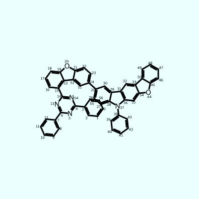 c1ccc(-c2nc(-c3ccccc3)nc(-c3cccc4oc5ccc(-c6ccc7c(c6)c6cc8c(cc6n7-c6ccccc6)oc6ccccc68)cc5c34)n2)cc1